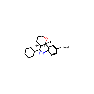 CCCCCc1ccc2c(c1)[C@H]1OCCC[C@H]1[C@H](C1CCCCC1)N2